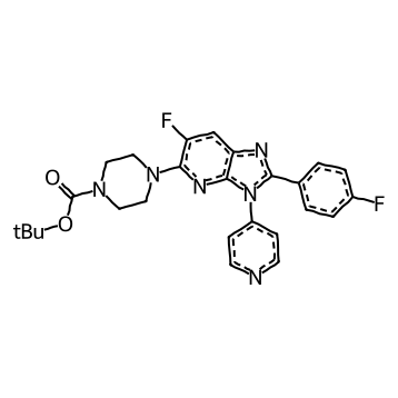 CC(C)(C)OC(=O)N1CCN(c2nc3c(cc2F)nc(-c2ccc(F)cc2)n3-c2ccncc2)CC1